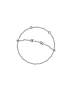 C1CCCCN2CCOCCOCCN(CCC1)CCOCCOCC2